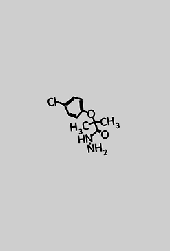 CC(C)(Oc1ccc(Cl)cc1)C(=O)NN